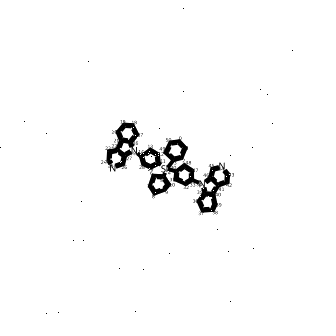 c1ccc([Si](c2ccccc2)(c2ccc(-n3c4ccccc4c4ccncc43)cc2)c2ccc(-n3c4ccccc4c4ccncc43)cc2)cc1